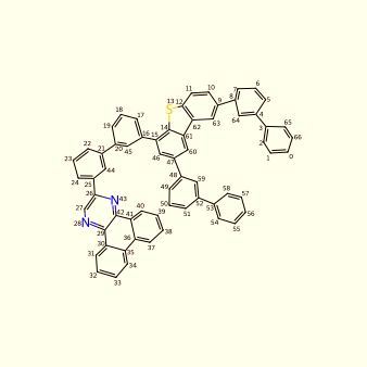 c1ccc(-c2cccc(-c3ccc4sc5c(-c6cccc(-c7cccc(-c8cnc9c%10ccccc%10c%10ccccc%10c9n8)c7)c6)cc(-c6cccc(-c7ccccc7)c6)cc5c4c3)c2)cc1